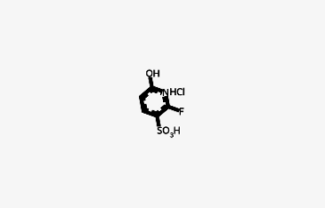 Cl.O=S(=O)(O)c1ccc(O)nc1F